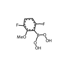 COc1c(F)ccc(F)c1B(OO)OO